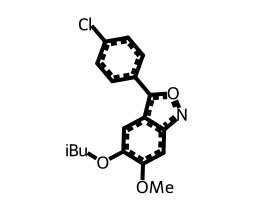 CCC(C)Oc1cc2c(-c3ccc(Cl)cc3)onc2cc1OC